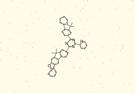 CC1(C)c2ccccc2-c2ccc(-c3nc(-c4ccc5c(c4)C(C)(C)c4cc6oc7ccccc7c6cc4-5)nc(-c4ccccn4)n3)cc21